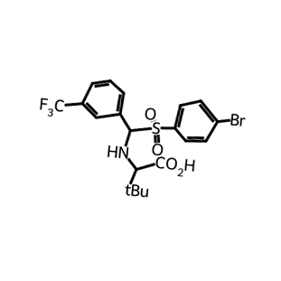 CC(C)(C)C(NC(c1cccc(C(F)(F)F)c1)S(=O)(=O)c1ccc(Br)cc1)C(=O)O